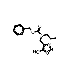 CCCN(Cc1nnoc1O)C(=O)OCc1ccccc1